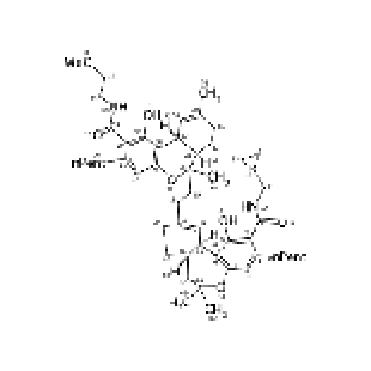 CCCCCc1cc2c(c(O)c1C(=O)NCC1CC1)[C@@H]1C=C(CCC3(C)Oc4cc(CCCCC)c(C(=O)NCCOC)c(O)c4[C@@H]4C=C(C)CC[C@H]43)CC[C@H]1CC(C)(C)O2